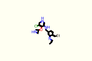 C\C=C/N=C1/C=C(CNC2=CNCC(Cl)=C2OC2CNC2)C=C/C1=C\CC